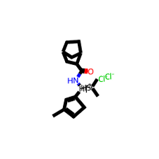 CC1=CC[C]([Hf+2]([NH]C(=O)C2CC3CCC2C3)[SiH](C)C)=C1.[Cl-].[Cl-]